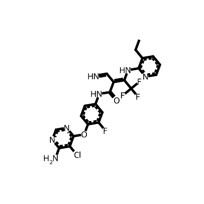 CCc1cccnc1N/C(=C(\C=N)C(=O)Nc1ccc(Oc2ncnc(N)c2Cl)c(F)c1)C(F)(F)F